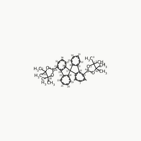 CC1(C)OB(c2cccc3c2-c2ccccc2C32c3ccccc3-c3c(B4OC(C)(C)C(C)(C)O4)cccc32)OC1(C)C